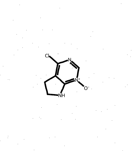 [O-][n+]1cnc(Cl)c2c1NCC2